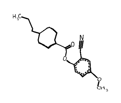 CCCC1CCC(C(=O)Oc2ccc(OC)cc2C#N)CC1